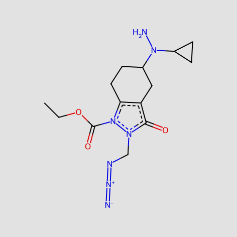 CCOC(=O)n1c2c(c(=O)n1CN=[N+]=[N-])CC(N(N)C1CC1)CC2